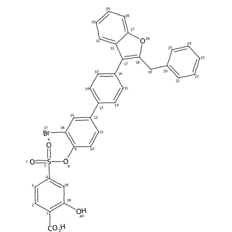 O=C(O)c1ccc(S(=O)(=O)Oc2ccc(-c3ccc(-c4c(Cc5ccccc5)oc5ccccc45)cc3)cc2Br)cc1O